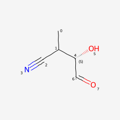 CC(C#N)[C@H](O)[C]=O